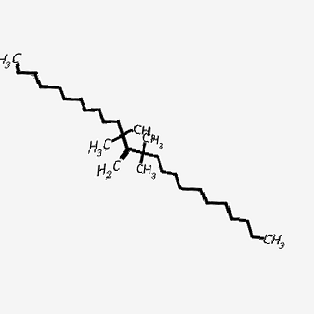 C=C(C(C)(C)CCCCCCCCCCC)C(C)(C)CCCCCCCCCCC